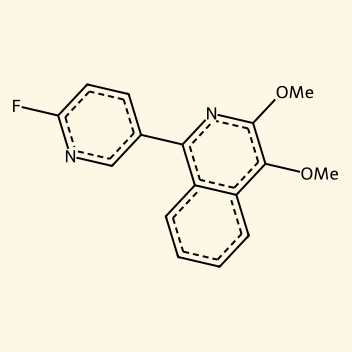 COc1nc(-c2ccc(F)nc2)c2ccccc2c1OC